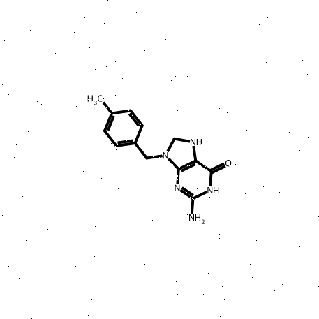 Cc1ccc(CN2CNc3c2nc(N)[nH]c3=O)cc1